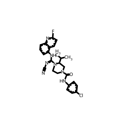 CC(C)C1CN(C(=O)Nc2ccc(Cl)cc2)CCN1/C(=N\C#N)Nc1cccc2nc(F)ccc12